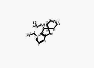 CC(C)C[n+]1cccc2c1[C@@H](N[SH]=O)C1(CCNCC1)C2